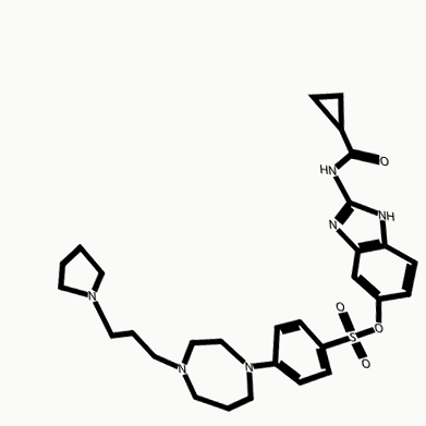 O=C(Nc1nc2cc(OS(=O)(=O)c3ccc(N4CCCN(CCCN5CCCC5)CC4)cc3)ccc2[nH]1)C1CC1